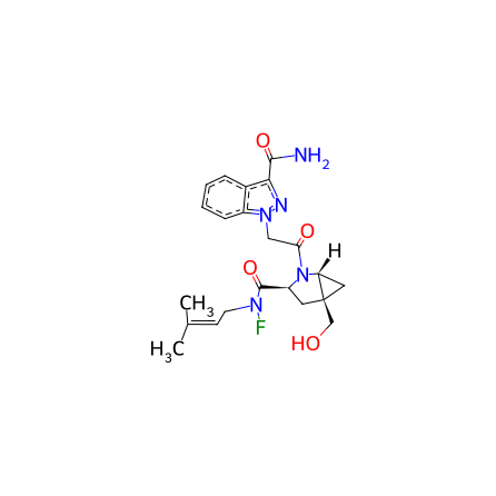 CC(C)=CCN(F)C(=O)[C@@H]1C[C@@]2(CO)C[C@H]2N1C(=O)Cn1nc(C(N)=O)c2ccccc21